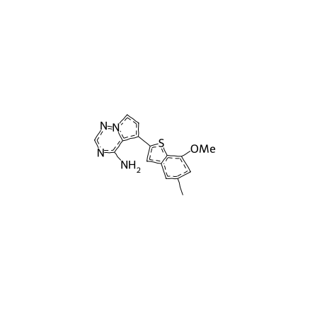 COc1cc(C)cc2cc(-c3ccn4ncnc(N)c34)sc12